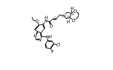 CCOc1cc2ncnc(Nc3ccc(F)c(Cl)c3)c2cc1NC(=O)/C=C/CN1C[C@@H]2OCCO[C@H]2C1